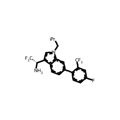 CC(C)Cn1cc([C@H](N)C(F)(F)F)c2ccc(-c3ccc(F)cc3C(F)(F)F)cc21